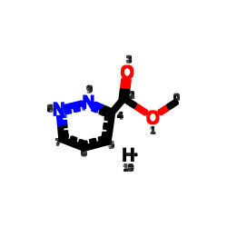 COC(=O)c1cccnn1.[H]